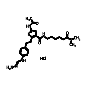 CC(=O)Nc1nc(CCc2ccc(NC=NN)cc2)c(C(=O)NCCCCCC(=O)N(C)C)s1.Cl